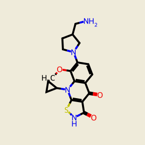 COc1c(N2CCC(CN)C2)ccc2c(=O)c3c(=O)[nH]sc3n(C3CC3)c12